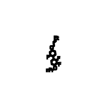 CCC=CCOC1CCC(C2CCC(OCCC)C(F)C2F)C(F)C1